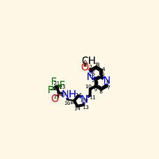 COc1ccc2nccc(CCN3CC[C@@H](CNC(=O)C(F)(F)F)C3)c2n1